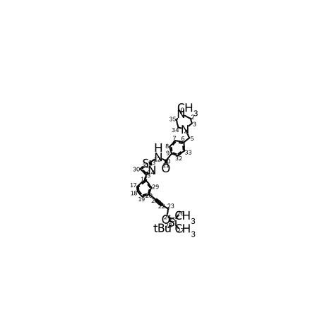 CN1CCN(Cc2ccc(C(=O)Nc3nc(-c4cccc(C#CCO[Si](C)(C)C(C)(C)C)c4)cs3)cc2)CC1